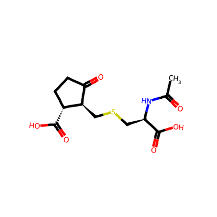 CC(=O)N[C@H](CSC[C@@H]1C(=O)CC[C@H]1C(=O)O)C(=O)O